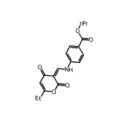 CCCOC(=O)c1ccc(NC=C2C(=O)C=C(CC)OC2=O)cc1